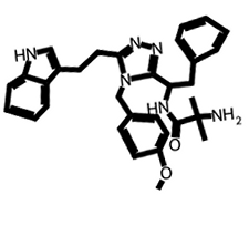 COc1ccc(Cn2c(CCc3c[nH]c4ccccc34)nnc2C(Cc2ccccc2)NC(=O)C(C)(C)N)cc1